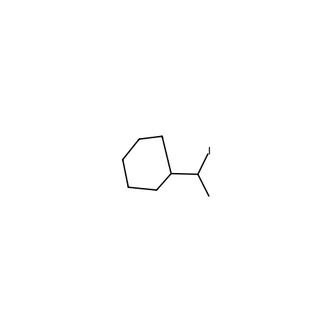 CC(I)C1CCCCC1